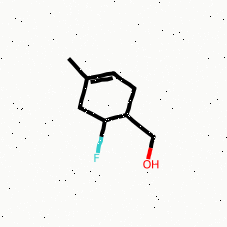 CC1=CCC(CO)C(F)C1